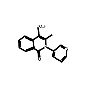 Cc1c(C(=O)O)c2ccccc2c(=O)n1-c1cccnc1